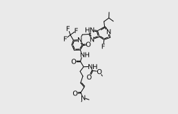 COC(=O)NC(CCC=CC(=O)N(C)C)C(=O)Nc1ccc(C(F)(F)F)n(Cc2nc3c(F)cnc(CC(C)C)c3[nH]2)c1=O